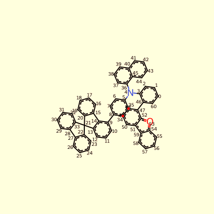 c1ccc(N(c2ccc(-c3cccc4c3-c3ccccc3C43c4ccccc4-c4ccccc43)cc2)c2cccc3ccccc23)c(-c2cccc3c2oc2ccccc23)c1